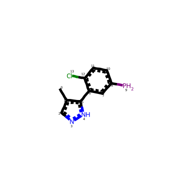 Cc1cn[nH]c1-c1cc(P)ccc1Cl